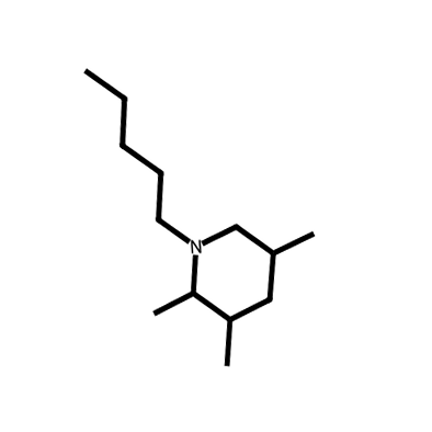 CCCCCN1CC(C)CC(C)C1C